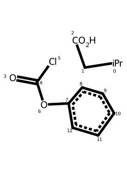 CC(C)CC(=O)O.O=C(Cl)Oc1ccccc1